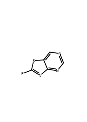 Fc1nc2ncncc2s1